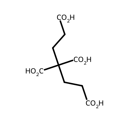 O=C(O)CCC(CCC(=O)O)(C(=O)O)C(=O)O